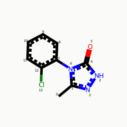 Cc1n[nH]c(=O)n1-c1ccccc1Cl